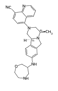 C[C@@H]1CN(c2ccc(C#N)c3ncccc23)C[C@@H]2c3ccc(NC4CNCCOC4)cc3CN12